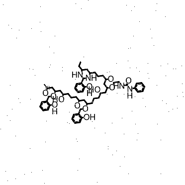 CCC1CC(CCCC2CC(CC(O)CCCC3CC(CCCC(O)CC4C[C@H](C)OC(c5ccccc5O)O4)OC(c4ccccc4O)O3)OC(CNC(=O)Nc3ccccc3)O2)NC(c2ccccc2O)N1